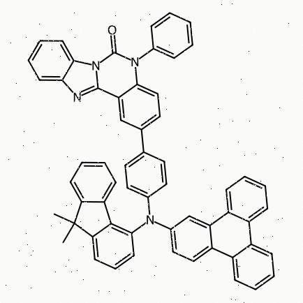 CC1(C)c2ccccc2-c2c(N(c3ccc(-c4ccc5c(c4)c4nc6ccccc6n4c(=O)n5-c4ccccc4)cc3)c3ccc4c5ccccc5c5ccccc5c4c3)cccc21